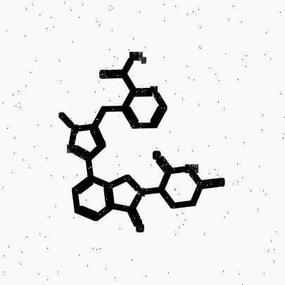 Cn1nc(-c2cccc3c2CN(C2CCC(=O)NC2=O)C3=O)cc1Cc1cccnc1C(N)=O